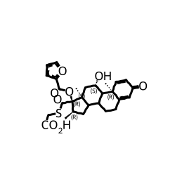 C[C@@H]1CC2C3CCC4=CC(=O)C=C[C@]4(C)C3[C@@H](O)C[C@]2(C)[C@@]1(OC(=O)c1ccco1)C(=O)SCC(=O)O